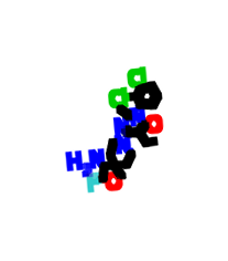 CCc1c(N2CCC3(CC2)CO[C@@H](F)[C@H]3N)nc(C)n(-c2cccc(Cl)c2Cl)c1=O